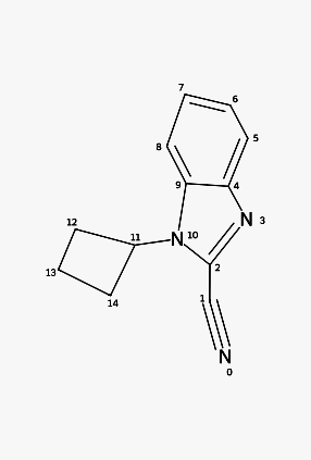 N#Cc1nc2ccccc2n1C1CCC1